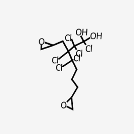 OC(O)(Cl)C(Cl)(Cl)C(Cl)(CC1CO1)C(Cl)(Cl)CCCC1CO1